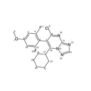 COc1cc(F)c(-c2c(Cl)nc3ncnn3c2C2CCCCC2)c(F)c1